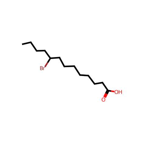 CCCCC(Br)CCCCCCCC(=O)O